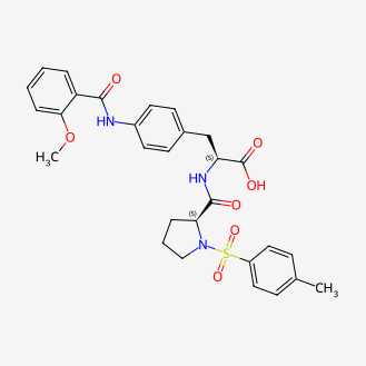 COc1ccccc1C(=O)Nc1ccc(C[C@H](NC(=O)[C@@H]2CCCN2S(=O)(=O)c2ccc(C)cc2)C(=O)O)cc1